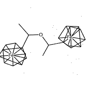 CC(OC(C)[C]12[CH]3[CH]4[CH]5[CH]1[Fe]45321678[CH]2[CH]1[CH]6[CH]7[CH]28)[C]12[CH]3[CH]4[CH]5[CH]1[Fe]45321678[CH]2[CH]1[CH]6[CH]7[CH]28